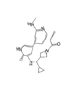 C=CC(=O)N1CC(C(Nc2cc(-c3ccnc(NC)c3)c[nH]c2=O)C2CC2)C1